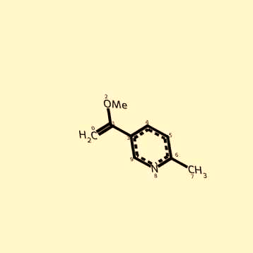 C=C(OC)c1ccc(C)nc1